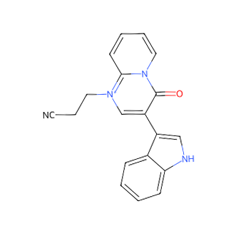 N#CCC[n+]1cc(-c2c[nH]c3ccccc23)c(=O)n2ccccc21